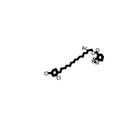 CC(=O)C(CCCCCCCCCCCCCc1ccc(Cl)cc1Cl)COC(=O)c1cccc2nnsc12